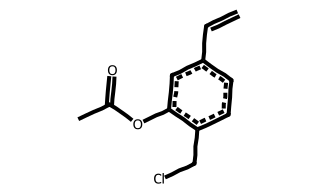 C=Cc1ccc(CCl)c(OC(C)=O)c1